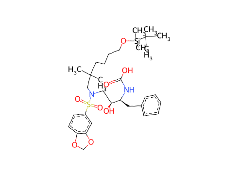 CC(C)(CCCCO[Si](C)(C)C(C)(C)C)CN(C[C@H](O)[C@H](Cc1ccccc1)NC(=O)O)S(=O)(=O)c1ccc2c(c1)OCO2